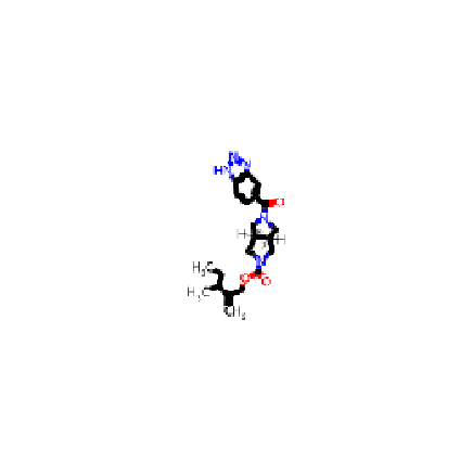 C=C(COC(=O)N1C[C@@H]2CN(C(=O)c3ccc4[nH]nnc4c3)C[C@@H]2C1)C(C)CC